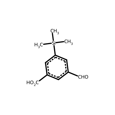 C[Si](C)(C)c1cc(C=O)cc(C(=O)O)c1